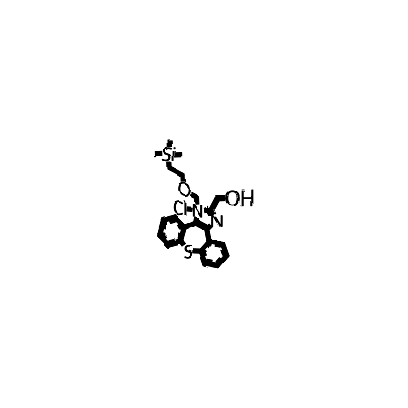 C[Si](C)(C)CCOC[N+]1(Cl)C(CO)=NC2=C1c1ccccc1Sc1ccccc12